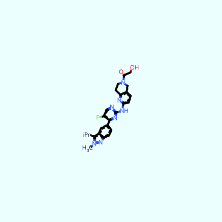 CC(C)c1c2cc(-c3nc(Nc4ccc5c(n4)CCN(C(=O)CO)C5)ncc3F)ccc2nn1C